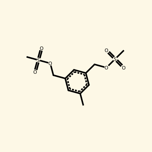 Cc1cc(COS(C)(=O)=O)cc(COS(C)(=O)=O)c1